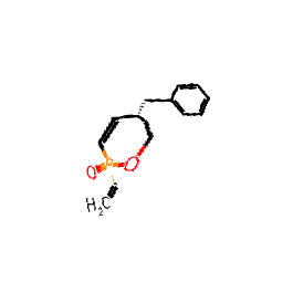 C=C[P@]1(=O)C=C[C@H](Cc2ccccc2)CO1